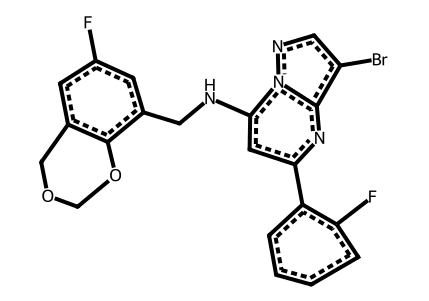 Fc1cc(CNc2cc(-c3ccccc3F)nc3c(Br)cnn23)c2c(c1)COCO2